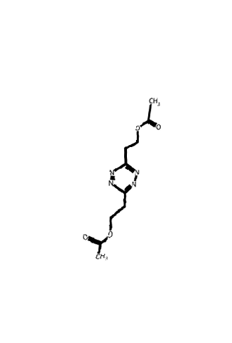 CC(=O)OCCc1nnc(CCOC(C)=O)nn1